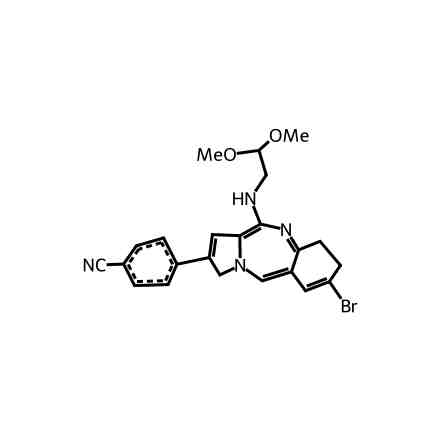 COC(CNC1=C2C=C(c3ccc(C#N)cc3)CN2C=C2C=C(Br)CCC2=N1)OC